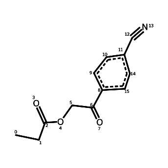 CCC(=O)OCC(=O)c1ccc(C#N)cc1